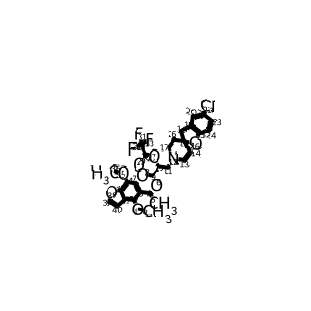 COc1c(C(C)=O)c(OC[C@H](CN2CCC3(CC2)Cc2cc(Cl)ccc2O3)OC(=O)C(F)(F)F)c(OC)c2occc12